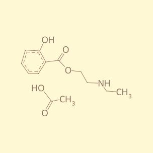 CC(=O)O.CCNCCOC(=O)c1ccccc1O